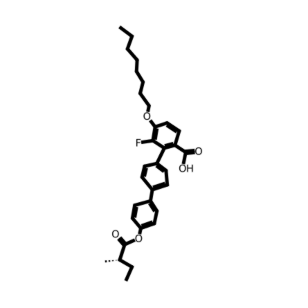 CCCCCCCCOc1ccc(C(=O)O)c(-c2ccc(-c3ccc(OC(=O)[C@@H](C)CC)cc3)cc2)c1F